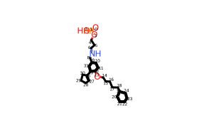 O=[PH](O)OCCCNCc1ccc(OCCCCCc2ccccc2)c(C2=CCCC2)c1